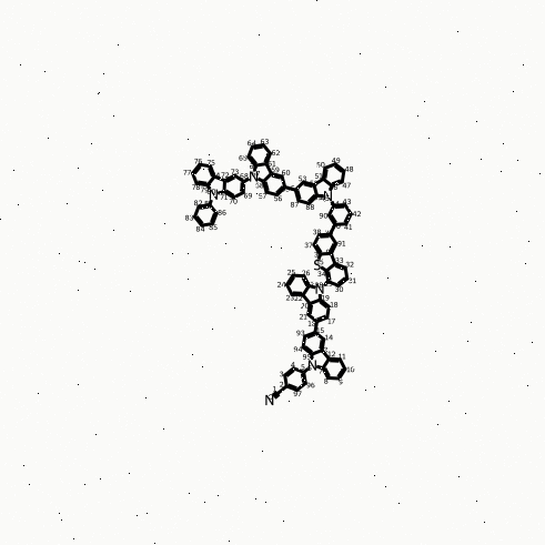 N#Cc1ccc(-n2c3ccccc3c3cc(-c4ccc5c(c4)c4ccccc4n5-c4cccc5c4sc4ccc(-c6cccc(-n7c8ccccc8c8cc(-c9ccc%10c(c9)c9ccccc9n%10-c9ccc%10c(c9)c9ccccc9n%10-c9ccccc9)ccc87)c6)cc45)ccc32)cc1